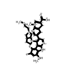 CNc1cc(F)c(F)c2c1[nH]c1ncc(-c3cnc4c(c3)CC(C(=O)O)=CN4C)c(N3CCC4CN(CCOC)CC43)c12